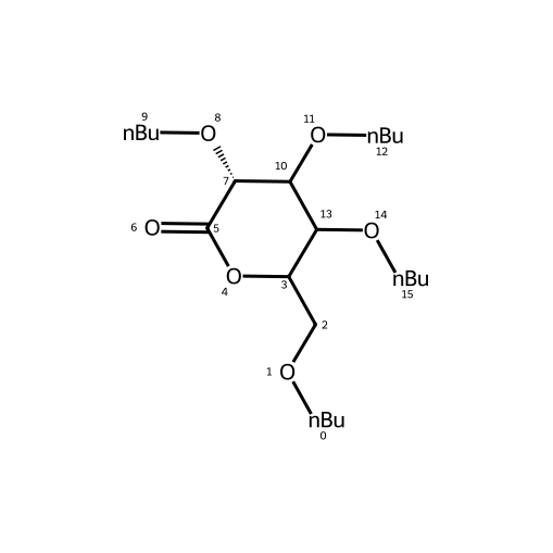 CCCCOCC1OC(=O)[C@H](OCCCC)C(OCCCC)C1OCCCC